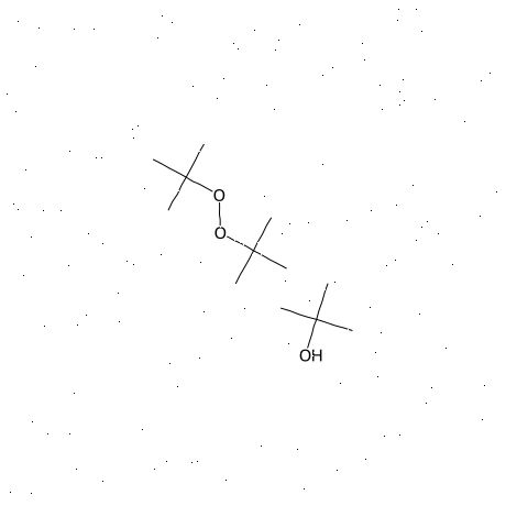 CC(C)(C)O.CC(C)(C)OOC(C)(C)C